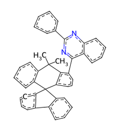 CC1(C)c2ccccc2C2(c3ccccc3-c3ccccc32)c2cccc(-c3nc(-c4ccccc4)nc4ccccc34)c21